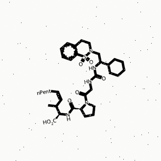 CCCCC/C=C\C(C)[C@@H](NC(=O)[C@@H]1CCCN1C(=O)CNC(=O)NC(CN1CCc2ccccc2S1(=O)=O)C1CCCCC1)C(=O)O